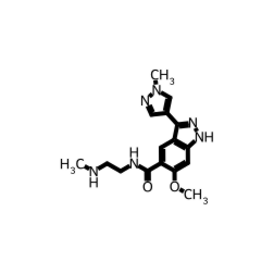 CNCCNC(=O)c1cc2c(-c3cnn(C)c3)n[nH]c2cc1OC